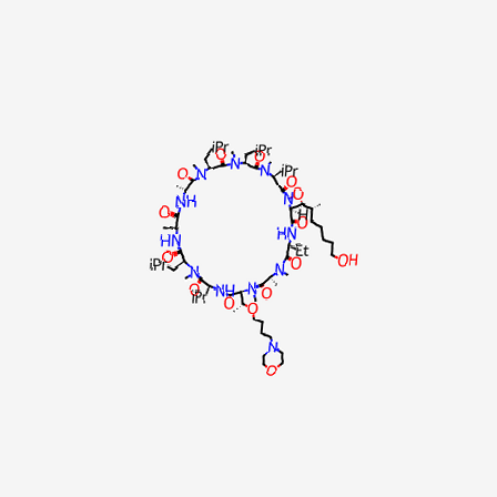 CC[C@@H]1NC(=O)[C@@H]2[C@@H]([C@H](C)CCCCCO)ON2C(=O)[C@H](C(C)C)N(C)C(=O)[C@H](CC(C)C)N(C)C(=O)[C@H](CC(C)C)N(C)C(=O)[C@@H](C)NC(=O)[C@H](C)NC(=O)[C@H](CC(C)C)N(C)C(=O)[C@H](C(C)C)NC(=O)[C@H]([C@@H](C)OCCCCN2CCOCC2)N(C)C(=O)[C@@H](C)N(C)C1=O